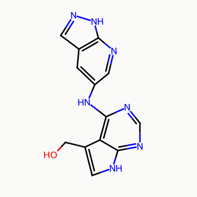 OCc1c[nH]c2ncnc(Nc3cnc4[nH]ncc4c3)c12